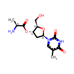 Cc1cn([C@H]2C[C@H](OC(=O)[C@H](C)N)[C@@H](CO)O2)c(=O)[nH]c1=O